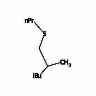 CCCSCC(C)C(C)CC